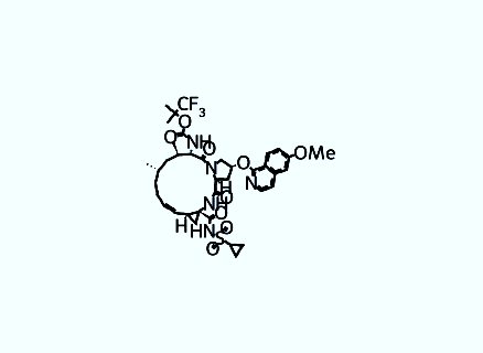 COc1ccc2c(O[C@@H]3C[C@H]4C(=O)N[C@]5(C(=O)NS(=O)(=O)C6CC6)C[C@H]5/C=C\CC[C@H](C)C[C@@H](C)[C@H](NC(=O)OC(C)(C)C(F)(F)F)C(=O)N4C3)nccc2c1